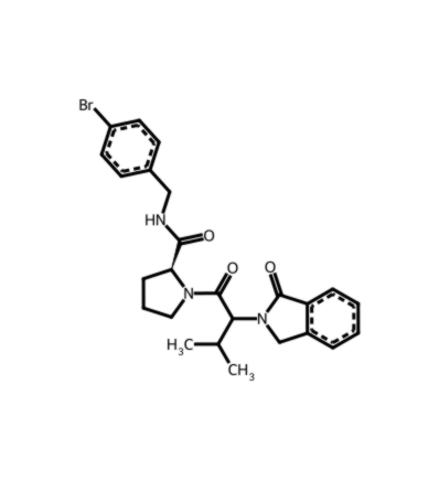 CC(C)C(C(=O)N1CCC[C@H]1C(=O)NCc1ccc(Br)cc1)N1Cc2ccccc2C1=O